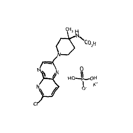 CC1(NC(=O)O)CCN(c2cnc3nc(Cl)ccc3n2)CC1.O=P([O-])(O)O.[K+]